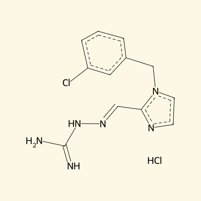 Cl.N=C(N)NN=Cc1nccn1Cc1cccc(Cl)c1